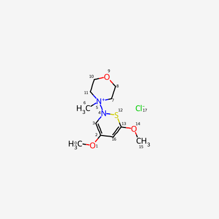 COC1=CN([N+]2(C)CCOCC2)SC(OC)=C1.[Cl-]